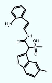 Cc1ccc2scc(C(C(=O)N/C=C/c3ccccc3N)P(C)(=O)O)c2c1